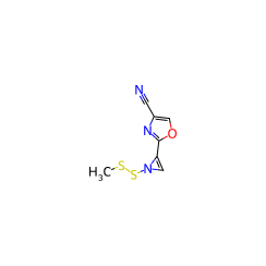 CSSN1C=C1c1nc(C#N)co1